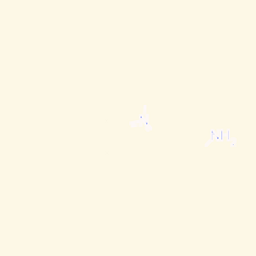 CCC(N)c1ccc2c3ccc(C4=CC=CCC4)cc3n(-c3ccccc3)c2c1